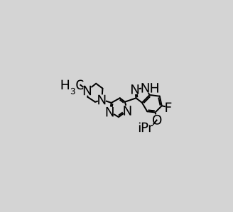 CC(C)Oc1cc2c(-c3cc(N4CCN(C)CC4)ncn3)n[nH]c2cc1F